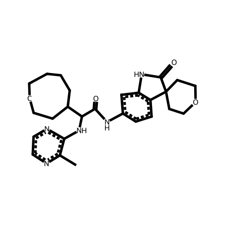 Cc1nccnc1NC(C(=O)Nc1ccc2c(c1)NC(=O)C21CCOCC1)C1CCCCCCC1